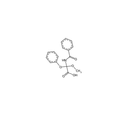 COC(NC(=O)c1ccccc1)(Oc1ccccc1)C(=O)O